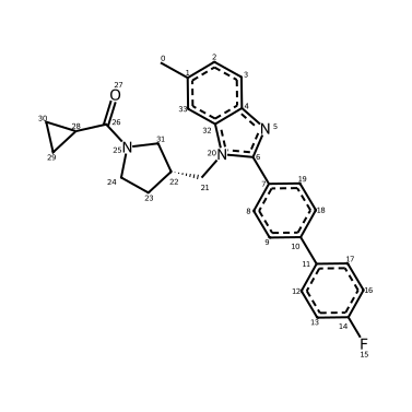 Cc1ccc2nc(-c3ccc(-c4ccc(F)cc4)cc3)n(C[C@@H]3CCN(C(=O)C4CC4)C3)c2c1